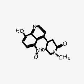 CN1CCC(c2ccnc3c(O)ccc([N+](=O)[O-])c23)CC1=O